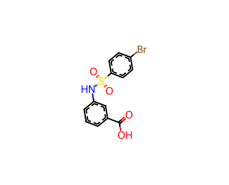 O=C(O)c1cccc(NS(=O)(=O)c2ccc(Br)cc2)c1